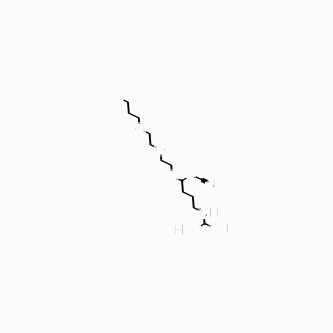 CCCCOCCOCCOC(CCCNC(C)C)SC#N